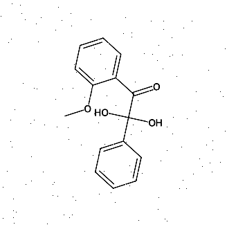 COc1ccccc1C(=O)C(O)(O)c1ccccc1